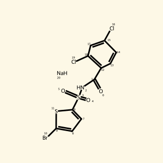 O=C(NS(=O)(=O)c1ccc(Br)s1)c1ccc(Cl)cc1Cl.[NaH]